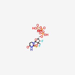 O=c1ccn([C@@H]2O[C@H](COP(=O)(O)OP(=O)(O)OP(=O)(O)O)C(F)[C@]2(O)CF)c(=S)[nH]1